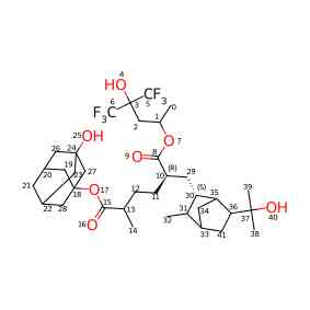 CC(CC(O)(C(F)(F)F)C(F)(F)F)OC(=O)[C@H](CCC(C)C(=O)OC12CC3CC(CC(O)(C3)C1)C2)C[C@H]1C(C)C2CC1C(C(C)(C)O)C2